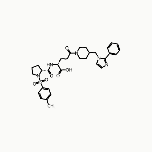 Cc1ccc(S(=O)(=O)N2CCC[C@@H]2C(=O)N[C@@H](CCC(=O)N2CCC(Cn3ccnc3-c3ccccc3)CC2)C(=O)O)cc1